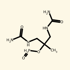 CC(CNC(N)=O)(CNC(N)=O)O[PH2]=O